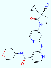 N#C[C@@]1(C2CC2)CCN(c2ccnc(Nc3cc(C(=O)NC4CCOCC4)ccn3)c2)C1=O